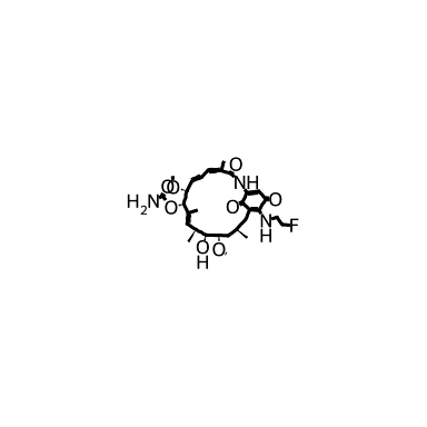 CO[C@H]1C[C@H](C)CC2=C(NCCF)C(=O)C=C(NC(=O)/C(C)=C\C=C\[C@@H](OC)[C@@H](OC(N)=O)/C(C)=C/[C@H](C)[C@H]1O)C2=O